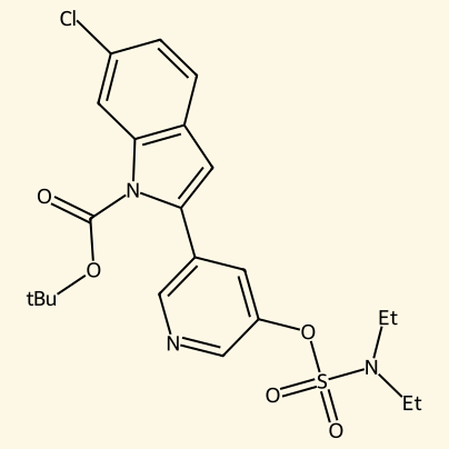 CCN(CC)S(=O)(=O)Oc1cncc(-c2cc3ccc(Cl)cc3n2C(=O)OC(C)(C)C)c1